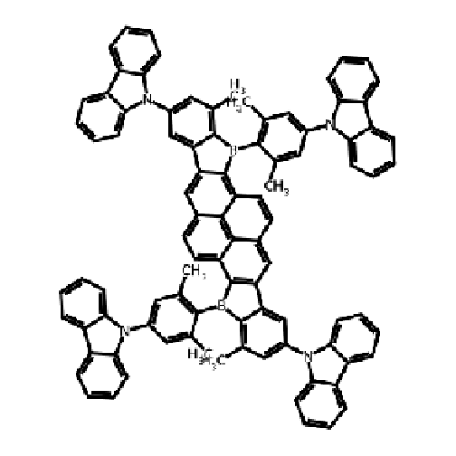 Cc1cc(-n2c3ccccc3c3ccccc32)cc(C)c1B1c2c(C)cc(-n3c4ccccc4c4ccccc43)cc2-c2cc3ccc4c5c(cc6ccc(c21)c3c64)-c1cc(-n2c3ccccc3c3ccccc32)cc(C)c1B5c1c(C)cc(-n2c3ccccc3c3ccccc32)cc1C